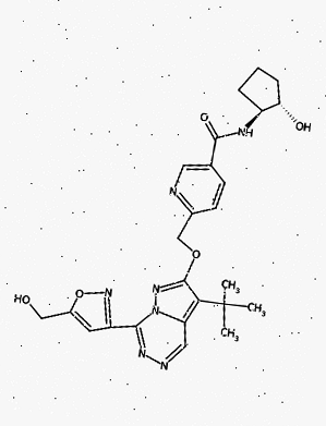 CC(C)(C)c1c(OCc2ccc(C(=O)N[C@H]3CCC[C@@H]3O)cn2)nn2c(-c3cc(CO)on3)nncc12